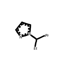 CCC(C(C)C)n1cccn1